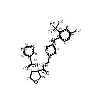 O=C(N[C@@]1(C(=O)NCc2ccc(Nc3ccc(F)cc3C(F)(F)F)cn2)CCOC1)c1cncnc1